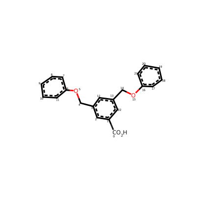 O=C(O)c1cc(COc2ccccc2)cc(COc2ccccc2)c1